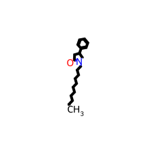 CCCCCCCCCCCN1CC(c2ccccc2)CC1=O